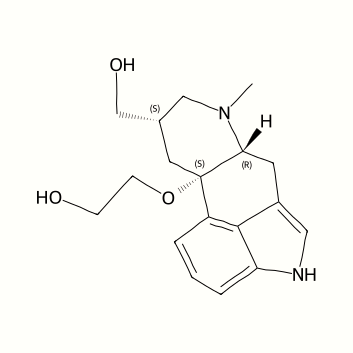 CN1C[C@@H](CO)C[C@]2(OCCO)c3cccc4[nH]cc(c34)C[C@@H]12